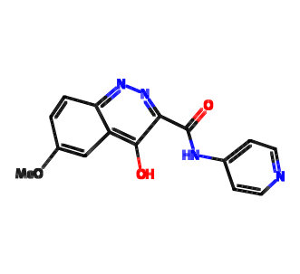 COc1ccc2nnc(C(=O)Nc3ccncc3)c(O)c2c1